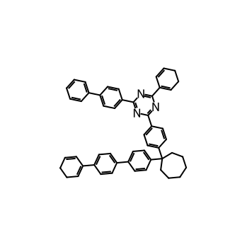 C1=CC(c2ccc(-c3ccc(C4(c5ccc(-c6nc(C7=CCCC=C7)nc(-c7ccc(-c8ccccc8)cc7)n6)cc5)CCCCCC4)cc3)cc2)=CCC1